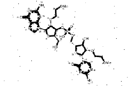 COCCO[C@H]1C(O)[C@@H](COP(=O)(O)OC2[C@@H](CO)O[C@@H](n3cnc4c(=O)[nH]c(N)nc43)[C@H]2OCCOC)O[C@H]1n1cnc(N)nc1=O